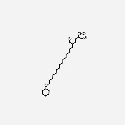 O=[C]C(CBr)CCC(CBr)CCCCCCCCCCCCCCCOC1CC[CH]CC1